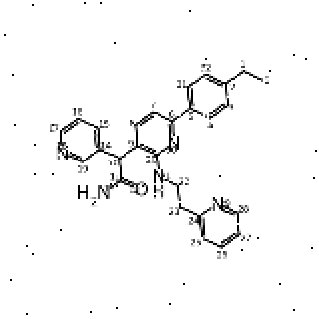 CCc1ccc(-c2ccc(C(C(N)=O)c3cccnc3)c(NCCc3ccccn3)n2)cc1